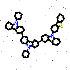 c1ccc(-n2c3ccccc3c3cc(-c4ccc5c(c4)c4cc(-c6ccc7c(c6)c6ccccc6n7-c6ccc7c(c6)sc6ccccc67)ccc4n5-c4ccccc4)ccc32)cc1